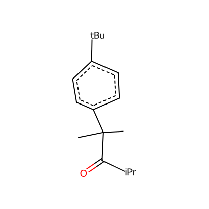 CC(C)C(=O)C(C)(C)c1ccc(C(C)(C)C)cc1